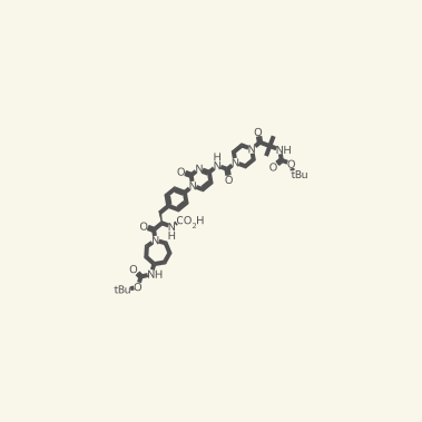 CC(C)(C)OC(=O)NC1CCCN(C(=O)[C@@H](Cc2ccc(-n3ccc(NC(=O)N4CCN(C(=O)C(C)(C)NC(=O)OC(C)(C)C)CC4)nc3=O)cc2)NC(=O)O)CC1